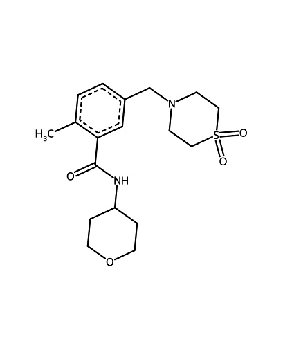 Cc1ccc(CN2CCS(=O)(=O)CC2)cc1C(=O)NC1CCOCC1